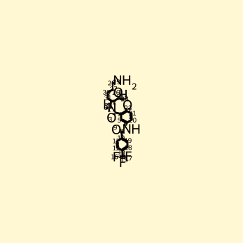 CN1C(=O)c2cc(NC(=O)c3ccc(C(F)(F)F)cc3)ccc2OC[C@@H]2O[C@H](CN)CC[C@@H]21